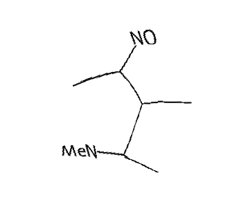 CNC(C)C(C)C(C)N=O